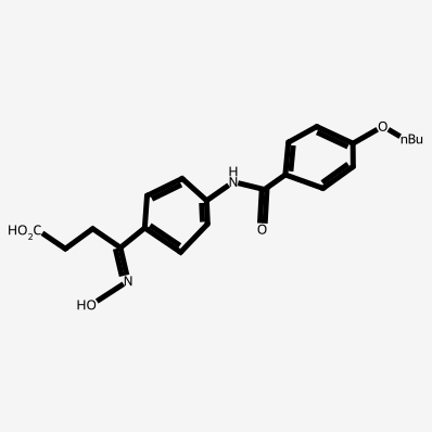 CCCCOc1ccc(C(=O)Nc2ccc(C(CCC(=O)O)=NO)cc2)cc1